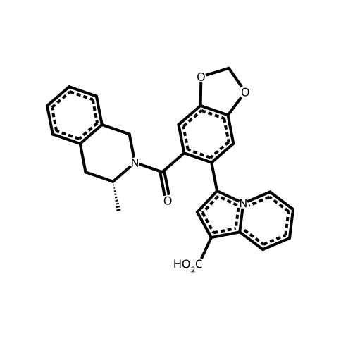 C[C@@H]1Cc2ccccc2CN1C(=O)c1cc2c(cc1-c1cc(C(=O)O)c3ccccn13)OCO2